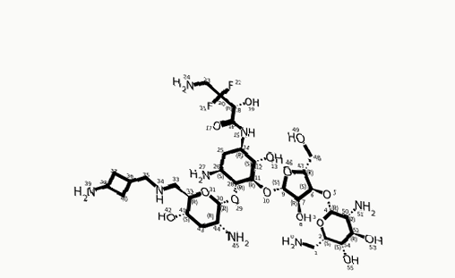 NC[C@@H]1O[C@H](O[C@H]2[C@@H](O)[C@H](O[C@@H]3[C@@H](O)[C@H](NC(=O)[C@@H](O)C(F)(F)CN)C[C@H](N)[C@H]3O[C@H]3O[C@H](CNCC4CC(N)C4)[C@@H](O)C[C@H]3N)O[C@@H]2CO)[C@H](N)[C@@H](O)[C@@H]1O